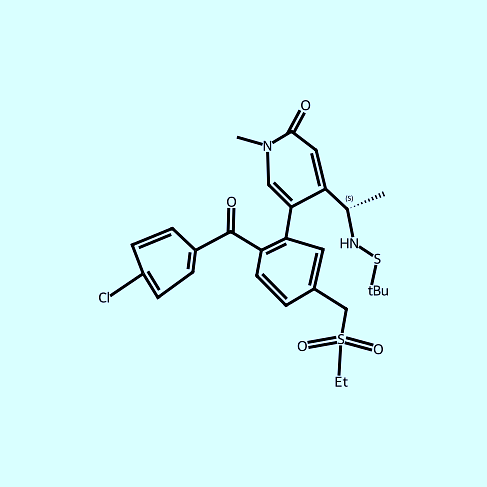 CCS(=O)(=O)Cc1ccc(C(=O)c2ccc(Cl)cc2)c(-c2cn(C)c(=O)cc2[C@H](C)NSC(C)(C)C)c1